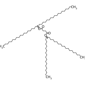 CCCCCCCCCCCCCCCCCCN(CCCCCCCCCCCCCCCCCC)OC(=O)CCC(=O)ON(CCCCCCCCCCCCCCCCCC)CCCCCCCCCCCCCCCCCC